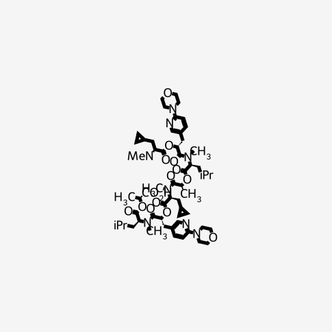 CN[C@@H](CC1CC1)C(=O)O[C@H](Cc1ccc(N2CCOCC2)nc1)C(=O)N(C)[C@@H](CC(C)C)C(=O)O[C@H](C)C(=O)N(C)[C@@H](CC1CC1)C(=O)O[C@H](Cc1ccc(N2CCOCC2)nc1)C(=O)N(C)[C@@H](CC(C)C)C(=O)O[C@H](C)C(=O)O